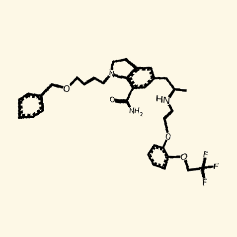 CC(Cc1cc2c(c(C(N)=O)c1)N(CCCCOCc1ccccc1)CC2)NCCOc1ccccc1OCC(F)(F)F